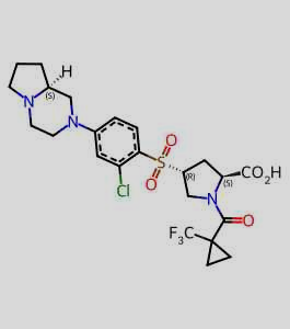 O=C(O)[C@@H]1C[C@@H](S(=O)(=O)c2ccc(N3CCN4CCC[C@H]4C3)cc2Cl)CN1C(=O)C1(C(F)(F)F)CC1